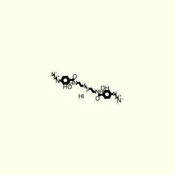 I.[N-]=[N+]=Nc1ccc(C(=O)NCCSSCCNC(=O)c2ccc(N=[N+]=[N-])cc2O)c(O)c1